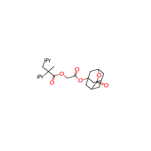 CC(C)CC(C)(C(=O)OCC(=O)OC12CC3CC(C1)OC(=O)C(C3)C2)C(C)C